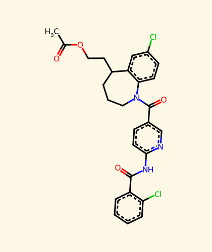 CC(=O)OCCC1CCCN(C(=O)c2ccc(NC(=O)c3ccccc3Cl)nc2)c2ccc(Cl)cc21